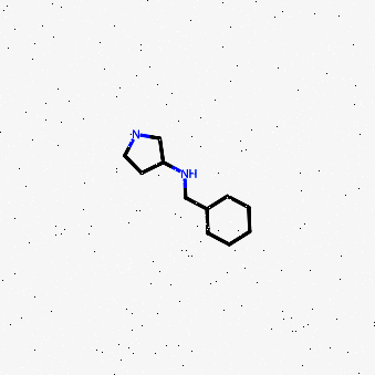 C1CCC(CNC2CC[N]C2)CC1